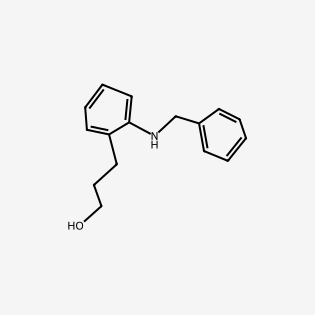 OCCCc1ccccc1NCc1ccccc1